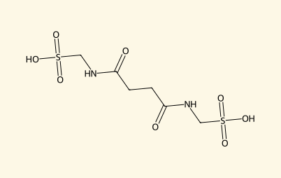 O=C(CCC(=O)NCS(=O)(=O)O)NCS(=O)(=O)O